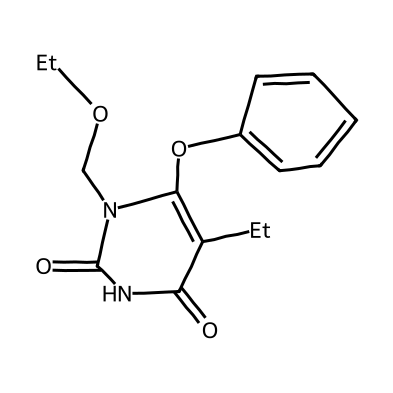 CCOCn1c(Oc2ccccc2)c(CC)c(=O)[nH]c1=O